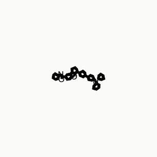 c1ccc(N(c2ccccc2)c2ccc(-c3ccc(-c4cccc5c4oc4ccc(-c6nc7ccccc7o6)cc45)cc3)cc2)cc1